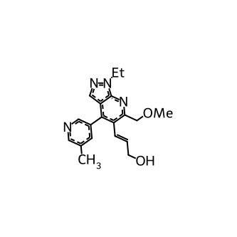 CCn1ncc2c(-c3cncc(C)c3)c(/C=C/CO)c(COC)nc21